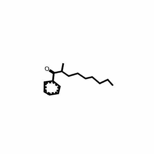 CCCCCCCC(C)C(=O)c1cc[c]cc1